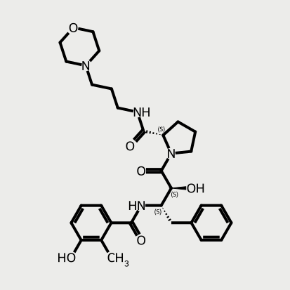 Cc1c(O)cccc1C(=O)N[C@@H](Cc1ccccc1)[C@H](O)C(=O)N1CCC[C@H]1C(=O)NCCCN1CCOCC1